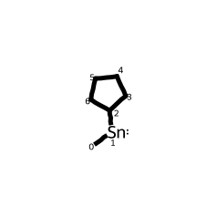 [CH3][Sn][CH]1CCCC1